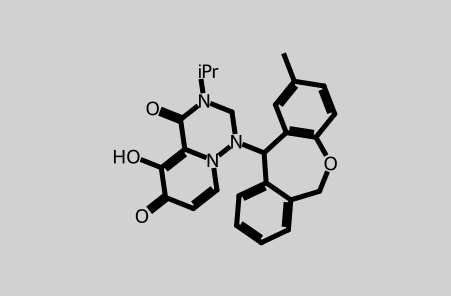 Cc1ccc2c(c1)C(N1CN(C(C)C)C(=O)c3c(O)c(=O)ccn31)c1ccccc1CO2